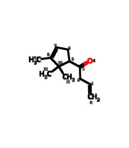 C=CCC(=O)C1CC=C(C)C1(C)C